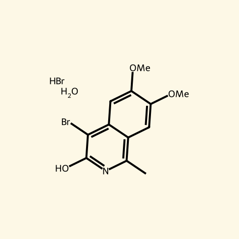 Br.COc1cc2c(C)nc(O)c(Br)c2cc1OC.O